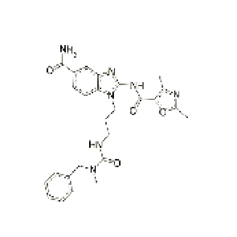 Cc1nc(C)c(C(=O)Nc2nc3cc(C(N)=O)ccc3n2CCCNC(=O)N(C)Cc2ccccc2)o1